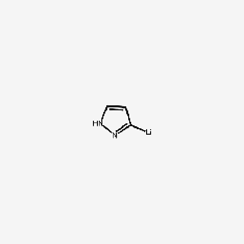 [Li][c]1cc[nH]n1